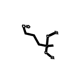 CCO[Si](C)(CCC[C]=O)OCC